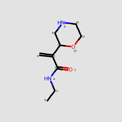 C=C(C(=O)NCC)C1CNCCO1